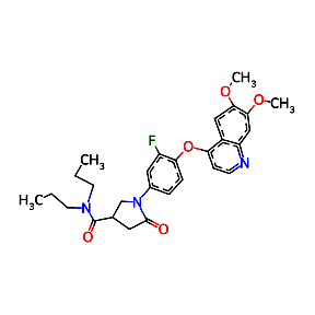 CCCN(CCC)C(=O)C1CC(=O)N(c2ccc(Oc3ccnc4cc(OC)c(OC)cc34)c(F)c2)C1